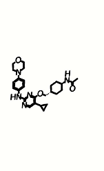 CC(=O)N[C@H]1CC[C@H](COc2nc(Nc3ccc(N4CCOCC4)cc3)ncc2C2CC2)CC1